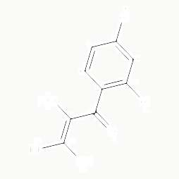 C/C(C(=O)c1ccc(Cl)cc1Cl)=C(/O)C(C)C